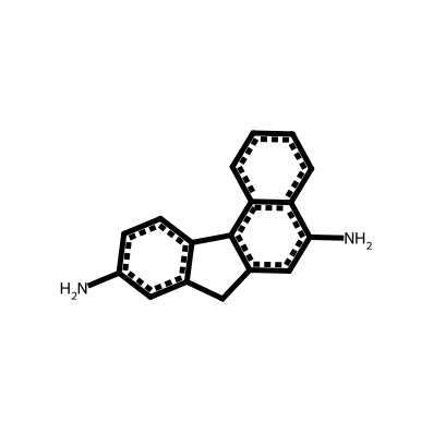 Nc1ccc2c(c1)Cc1cc(N)c3ccccc3c1-2